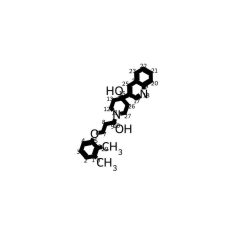 Cc1cccc(OCCC(O)N2CCC(O)(c3cnc4ccccc4c3)CC2)c1C